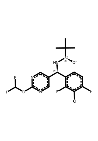 CC(C)(C)[S@@+]([O-])N[C@H](c1cnc(OC(F)F)nc1)c1ccc(F)c(Cl)c1F